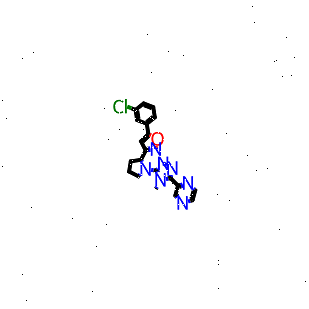 Cn1c(-c2cnccn2)nnc1N1CCCC1c1cc(-c2cccc(Cl)c2)on1